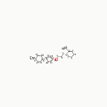 CCCC1CCCCC1CCCOc1ccc(C2CCC(CC)CC2)cc1